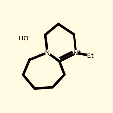 CC[N+]1=C2CCCCCN2CCC1.[OH-]